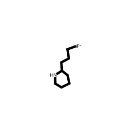 CC(C)CCCC1CCCCN1